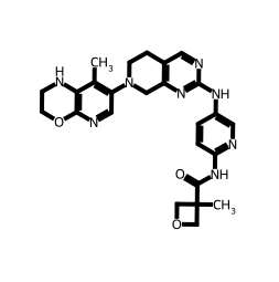 Cc1c(N2CCc3cnc(Nc4ccc(NC(=O)C5(C)COC5)nc4)nc3C2)cnc2c1NCCO2